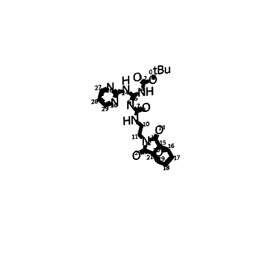 CC(C)(C)OC(=O)N/C(=N\C(=O)NCCN1C(=O)C2C3C=CC(O3)C2C1=O)Nc1ncccn1